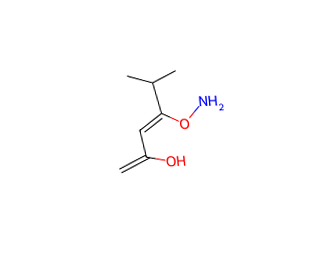 C=C(O)/C=C(\ON)C(C)C